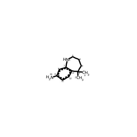 CC1(C)CCCNc2cc(N)ccc21